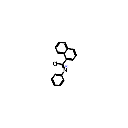 Cl/C(=N\c1ccccc1)c1cccc2ccccc12